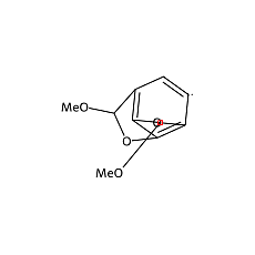 COC1Oc2c3[c]cc1c2C(OC)O3